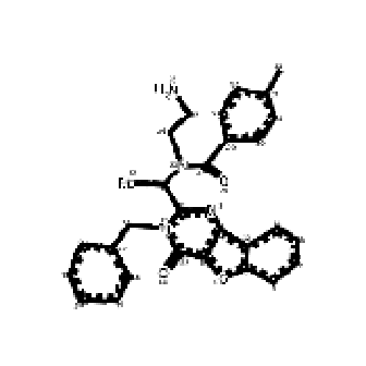 CCC(c1nc2c(oc3ccccc32)c(=O)n1Cc1ccccc1)N(CCN)C(=O)c1ccc(C)cc1